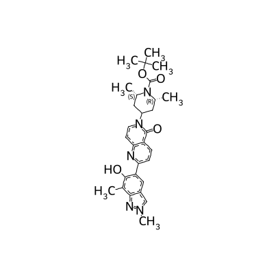 Cc1c(O)c(-c2ccc3c(=O)n(C4C[C@@H](C)N(C(=O)OC(C)(C)C)[C@@H](C)C4)ccc3n2)cc2cn(C)nc12